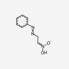 [O-]/[N+](O)=C\C/N=N/c1ccccc1